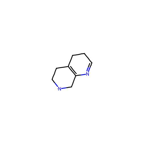 C1=NC2=C(CC1)CC[N]C2